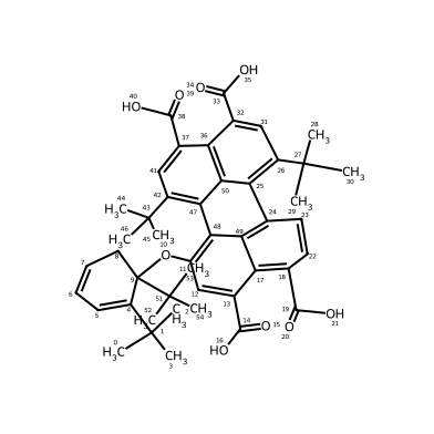 CC(C)(C)C1=CC=CCC1(Oc1cc(C(=O)O)c2c(C(=O)O)ccc3c4c(C(C)(C)C)cc(C(=O)O)c5c(C(=O)O)cc(C(C)(C)C)c(c1c23)c54)C(C)(C)C